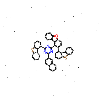 C1=Cc2sc3cccc(-c4nc(-c5ccc6ccccc6c5)nc(-c5c(-c6cccc7sc8ccccc8c67)ccc6oc7ccccc7c56)n4)c3c2CC1